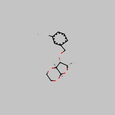 COc1cccc(CO[C@@H]2[C@H]3OCCO[C@H]3O[C@@H]2C(C)C)c1